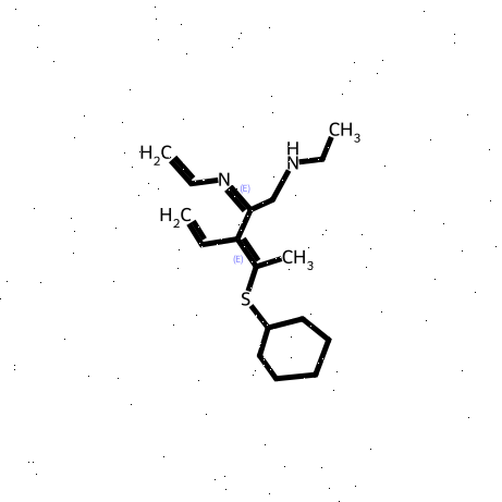 C=C/N=C(CNCC)\C(C=C)=C(/C)SC1CCCCC1